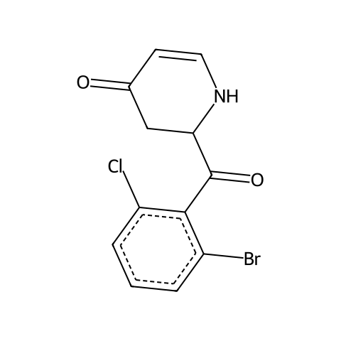 O=C1C=CNC(C(=O)c2c(Cl)cccc2Br)C1